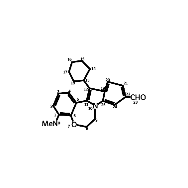 CNc1cccc2c1OCCn1c-2c(C2CCCCC2)c2ccc(C=O)cc21